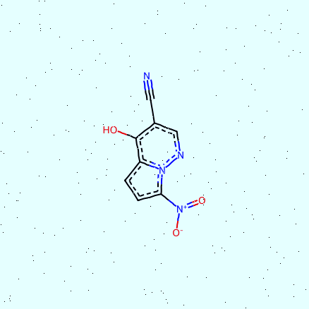 N#Cc1cnn2c([N+](=O)[O-])ccc2c1O